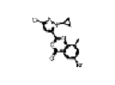 Cc1cc(Br)cc2c(=O)oc(-c3cc(Cl)nn3C3CC3)nc12